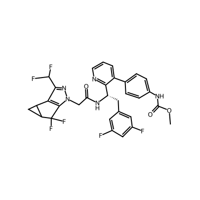 COC(=O)Nc1ccc(-c2cccnc2[C@H](Cc2cc(F)cc(F)c2)NC(=O)Cn2nc(C(F)F)c3c2C(F)(F)C2CC32)cc1